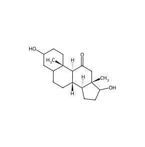 C[C@]12CCC(O)CC1CC[C@@H]1[C@@H]2C(=O)C[C@]2(C)C(O)CC[C@@H]12